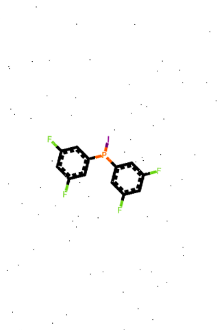 Fc1cc(F)cc(P(I)c2cc(F)cc(F)c2)c1